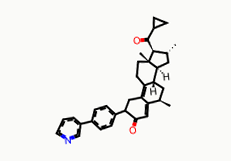 C[C@@H]1C[C@@H]2C(=C3CC(c4ccc(-c5cccnc5)cc4)C(=O)C=C31)CC[C@@]1(C)[C@H]2C[C@@H](C)[C@@H]1C(=O)C1CC1